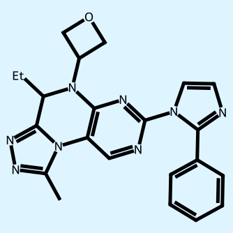 CCC1c2nnc(C)n2-c2cnc(-n3ccnc3-c3ccccc3)nc2N1C1COC1